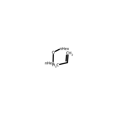 C=CC.CCCCCCOCCCCCC